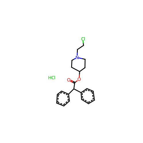 Cl.O=C(OC1CCN(CCCl)CC1)C(c1ccccc1)c1ccccc1